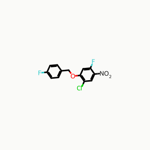 O=[N+]([O-])c1cc(Cl)c(OCc2ccc(F)cc2)cc1F